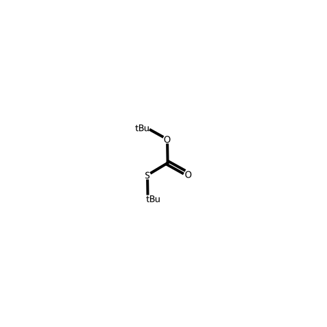 CC(C)(C)OC(=O)SC(C)(C)C